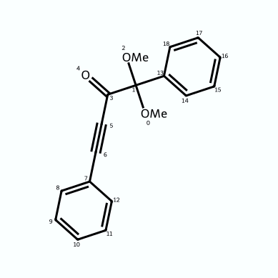 COC(OC)(C(=O)C#Cc1ccccc1)c1ccccc1